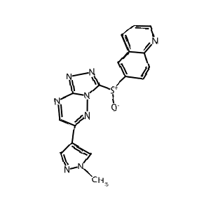 Cn1cc(-c2cnc3nnc([S+]([O-])c4ccc5ncccc5c4)n3n2)cn1